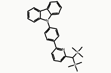 CS(C)(C)C(c1cccc(-c2ccc(-n3c4ccccc4c4ccccc43)cc2)n1)S(C)(C)C